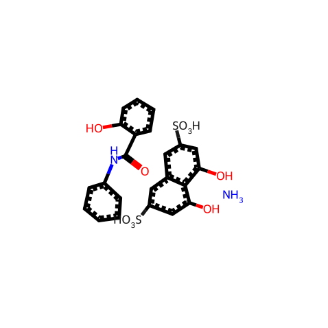 N.O=C(Nc1ccccc1)c1ccccc1O.O=S(=O)(O)c1cc(O)c2c(O)cc(S(=O)(=O)O)cc2c1